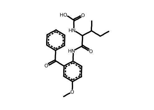 CCC(C)C(NC(=O)O)C(=O)Nc1ccc(OC)cc1C(=O)c1ccccc1